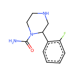 NC(=O)N1CCNCC1c1ccccc1F